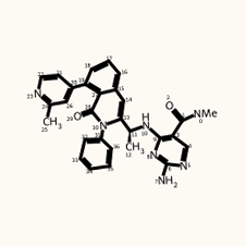 CNC(=O)c1cnc(N)nc1N[C@@H](C)c1cc2cccc(-c3ccnc(C)c3)c2c(=O)n1-c1ccccc1